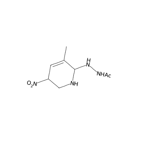 CC(=O)NNC1NCC([N+](=O)[O-])C=C1C